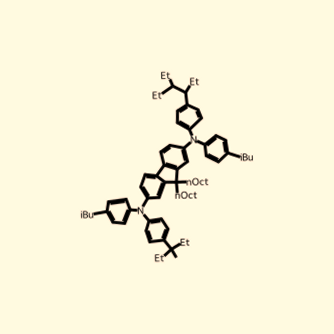 CCCCCCCCC1(CCCCCCCC)c2cc(N(c3ccc(C(C)CC)cc3)c3ccc(C(CC)C(CC)CC)cc3)ccc2-c2ccc(N(c3ccc(C(C)CC)cc3)c3ccc(C(C)(CC)CC)cc3)cc21